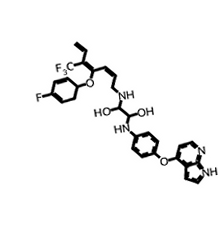 C=C/C(=C(\C=C/CNC(O)C(O)Nc1ccc(Oc2ccnc3[nH]ccc23)cc1)OC1C=CC(F)=CC1)C(F)(F)F